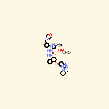 C[C@H]1CCCCN1c1nnc2ccc(O[C@@H]3CC[C@H](NC(=O)Nc4cc(C(C)(C)C)nn4-c4ccc(F)c(CN5CCOCC5)c4)c4ccccc43)cn12.O=CO